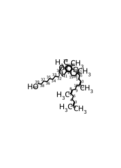 CC(C)=CCCC(C)=CCCC(C)=CCC[C@]1(C)CCc2c3c(c(C)c(C)c2O1)OCN(CCCCCCCCO)C3